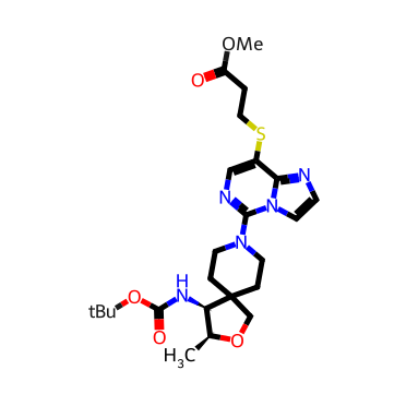 COC(=O)CCSc1cnc(N2CCC3(CC2)CO[C@@H](C)[C@H]3NC(=O)OC(C)(C)C)n2ccnc12